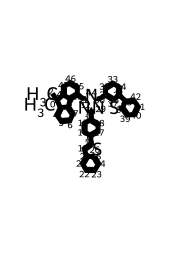 CC1(C)c2ccccc2-c2c(-c3nc(-c4ccc(-c5cc6ccccc6s5)cc4)nc(-c4cccc5c4sc4ccccc45)n3)cccc21